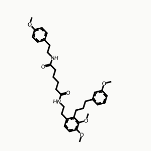 COc1ccc(CCNC(=O)CCCCC(=O)NCCc2ccc(OC)c(OC)c2CCCc2cccc(OC)c2)cc1